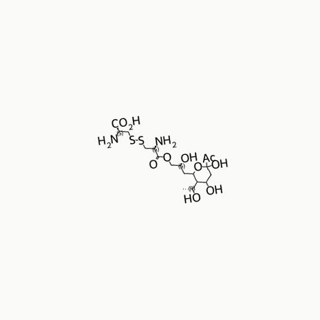 CC(=O)C1(O)CC(O)C([C@@H](C)O)C(C[C@H](O)COC(=O)[C@H](N)CSSC[C@@H](N)C(=O)O)O1